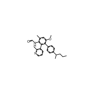 CCCC(C)c1ccc(-c2c(OC)cc(C)c(NC=O)c2-c2cccnc2C)cc1